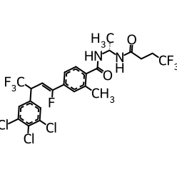 Cc1cc(/C(F)=C/C(c2cc(Cl)c(Cl)c(Cl)c2)C(F)(F)F)ccc1C(=O)N[C@H](C)NC(=O)CCC(F)(F)F